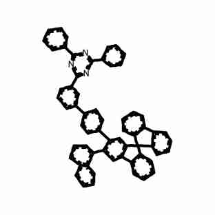 c1ccc(-c2nc(-c3ccccc3)nc(-c3cccc(-c4ccc(-c5cc6c(cc5-c5cccc7ccccc57)-c5ccccc5C65c6ccccc6-c6ccccc65)cc4)c3)n2)cc1